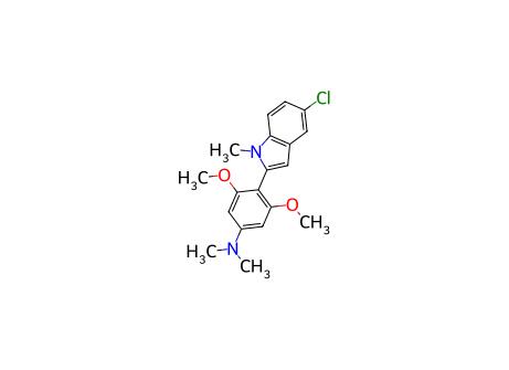 COc1cc(N(C)C)cc(OC)c1-c1cc2cc(Cl)ccc2n1C